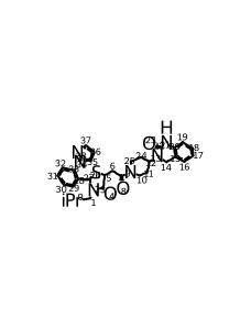 CC(C)CN1C(=O)C(CC(=O)N2CCC(N3Cc4ccccc4NC3=O)CC2)SC1c1ccccc1-n1cccn1